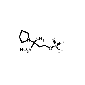 CC(CCOS(C)(=O)=O)(N1CCCC1)S(=O)(=O)O